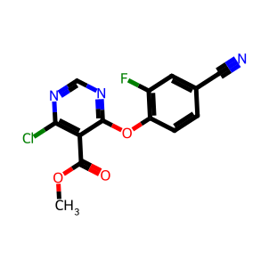 COC(=O)c1c(Cl)ncnc1Oc1ccc(C#N)cc1F